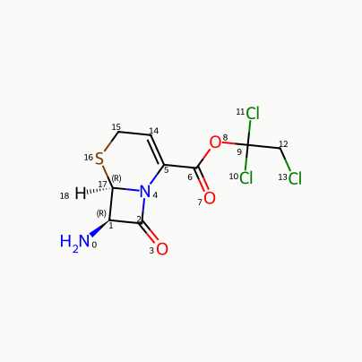 N[C@@H]1C(=O)N2C(C(=O)OC(Cl)(Cl)CCl)=CCS[C@H]12